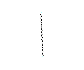 FCCCCCCCCCCCC=CCCCCCCCCCCCF